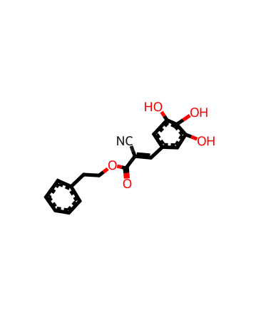 N#C/C(=C\c1cc(O)c(O)c(O)c1)C(=O)OCCc1ccccc1